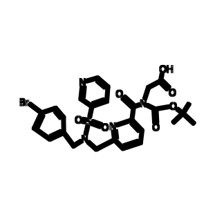 CC(C)(C)OC(=O)N(CC(=O)O)C(=O)c1cccc(CN(Cc2ccc(Br)cc2)S(=O)(=O)c2cccnc2)n1